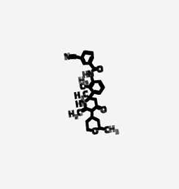 C=C1NC(C)(c2cccc(NC(=O)c3cccc(C#N)c3)c2C)CC(=O)C1C1CCOC(C)C1